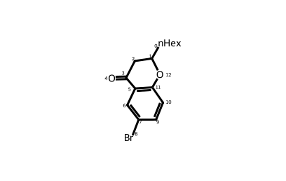 CCCCCCC1CC(=O)c2cc(Br)ccc2O1